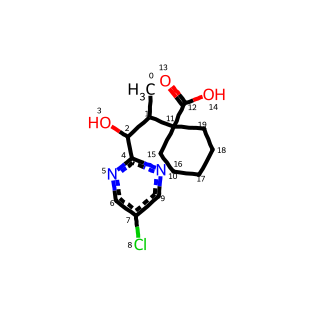 CC(C(O)c1ncc(Cl)cn1)C1(C(=O)O)CCCCC1